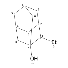 CC[C]1C2CC3CC(C2)CC1(O)C3